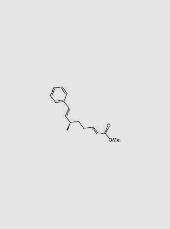 COC(=O)/C=C/CC[C@@H](C)/C=C/c1ccccc1